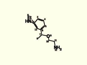 CCNc1cccc(C(C)OCCN)c1